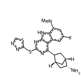 CNc1cc(F)cc2c1[nH]c1nc(Sc3nncs3)nc(C3C[C@H]4C[C@@H]3C[C@H]4N)c12